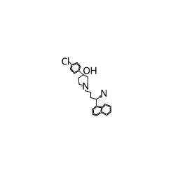 N#CC(CCCN1CCC(O)(c2ccc(Cl)cc2)CC1)c1cccc2ccccc12